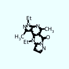 CCn1nc(C)c2c1nc(C)c1c(=O)n3nccc3n(CC)c12